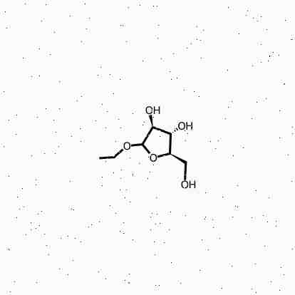 CCOC1O[C@H](CO)[C@@H](O)[C@@H]1O